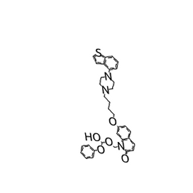 O=c1ccc2ccc(OCCCCN3CCN(c4cccc5sccc45)CC3)cc2n1COC(O)Oc1ccccc1